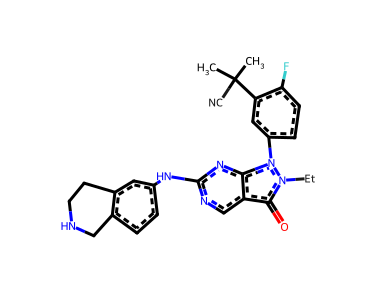 CCn1c(=O)c2cnc(Nc3ccc4c(c3)CCNC4)nc2n1-c1ccc(F)c(C(C)(C)C#N)c1